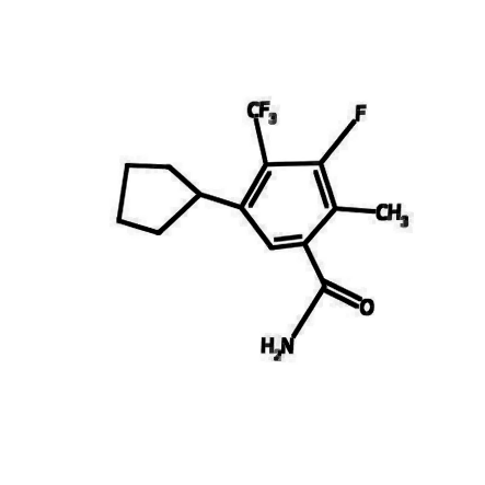 Cc1c(C(N)=O)cc(C2CCCC2)c(C(F)(F)F)c1F